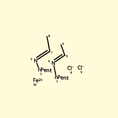 CC=NCCCCC.CC=NCCCCC.[Cl-].[Cl-].[Fe+2]